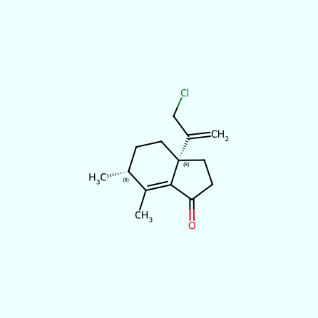 C=C(CCl)[C@]12CCC(=O)C1=C(C)[C@H](C)CC2